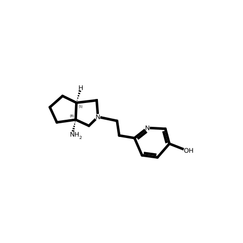 N[C@]12CCC[C@H]1CN(CCc1ccc(O)cn1)C2